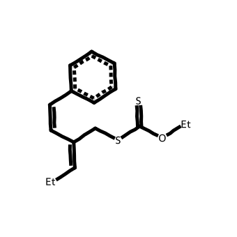 CC/C=C(\C=C/c1ccccc1)CSC(=S)OCC